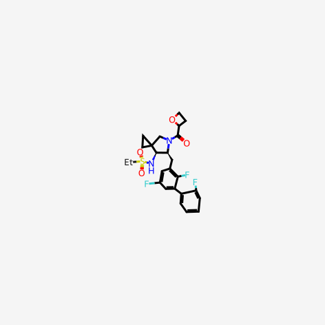 CCS(=O)(=O)N[C@@H]1[C@H](Cc2cc(F)cc(-c3ccccc3F)c2F)N(C(=O)C2CCO2)CC12CC2